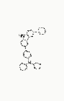 c1ccc(-c2ccc3[nH]c4ccc(-c5ccc(N(c6ccccc6)c6ccccc6)cc5)cc4c3c2)cc1